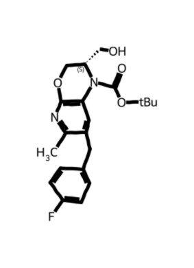 Cc1nc2c(cc1Cc1ccc(F)cc1)N(C(=O)OC(C)(C)C)[C@@H](CO)CO2